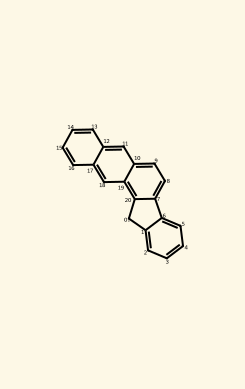 [CH]1c2ccccc2-c2ccc3cc4ccccc4cc3c21